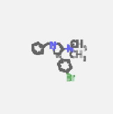 CN(C)C1CN(Cc2ccccc2)C[C@H]1c1ccc(Br)cc1